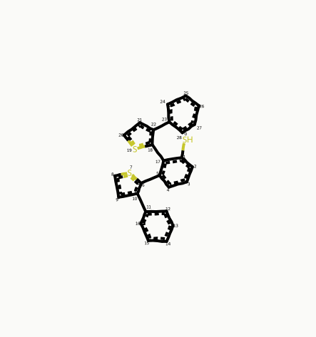 Sc1cccc(-c2sccc2-c2ccccc2)c1-c1sccc1-c1ccccc1